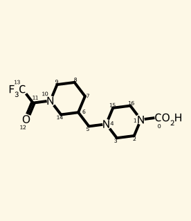 O=C(O)N1CCN(CC2CCCN(C(=O)C(F)(F)F)C2)CC1